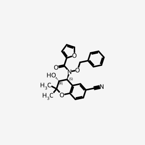 CC1(C)Oc2ccc(C#N)cc2[C@H](N(OCc2ccccc2)C(=O)c2ccco2)[C@H]1O